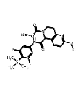 CCOc1ccc2c(n1)CCN(C(=O)OC(C)(C)C)C2C(=O)Nc1cc(F)c([Si](C)(C)C)c(F)c1